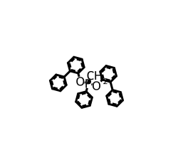 C=P(Oc1ccccc1-c1ccccc1)(Oc1ccccc1-c1ccccc1)c1ccccc1